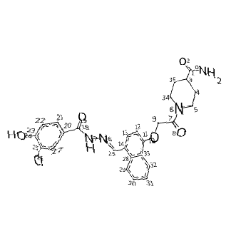 NC(=O)C1CCN(C(=O)COc2ccc(/C=N/NC(=O)c3ccc(O)c(Cl)c3)c3ccccc23)CC1